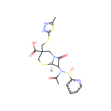 CC(=O)N(C1C(=O)N2CC(CSc3nnc(C)s3)(C(=O)O)CS[C@H]12)[S+]([O-])c1ccccn1